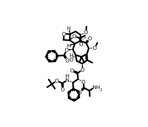 CO[C@H]1C(=O)[C@]2(C)[C@@H](OC)C[C@H]3OC[C@@]3(OC(C)=O)[C@H]2[C@H](OC(=O)c2ccccc2)[C@]2(O)C[C@H](OC(=O)[C@H](OC(=O)C(C)N)[C@@H](NC(=O)OC(C)(C)C)c3ccccc3)C(C)=C1C2(C)C